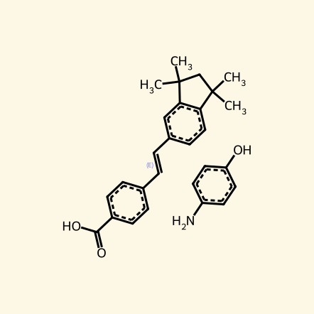 CC1(C)CC(C)(C)c2cc(/C=C/c3ccc(C(=O)O)cc3)ccc21.Nc1ccc(O)cc1